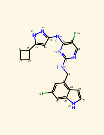 Fc1cc(CNc2ncc(F)c(Nc3cc(C4CCC4)[nH]n3)n2)c2cc[nH]c2c1